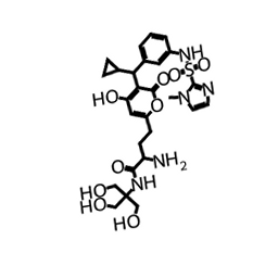 Cn1ccnc1S(=O)(=O)Nc1cccc(C(c2c(O)cc(CCC(N)C(=O)NC(CO)(CO)CO)oc2=O)C2CC2)c1